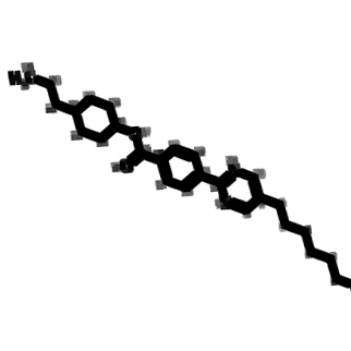 CCCCCCCc1cnc(-c2ccc(C(=O)OC3CCC(CCC)CC3)cc2)nc1